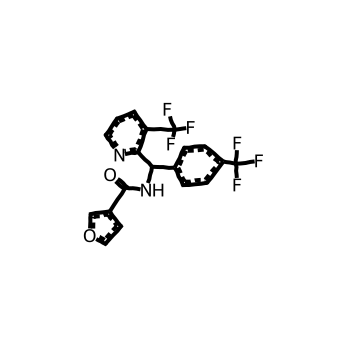 O=C(NC(c1ccc(C(F)(F)F)cc1)c1ncccc1C(F)(F)F)c1ccoc1